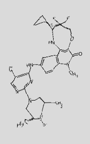 CC1CN(c2ncc(Cl)c(Nc3ccc4c(c3)c3c(c(=O)n4C)OCC(F)(F)[C@H](C4CC4)N3)n2)CC(C)[S+]1[O-]